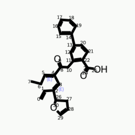 C=C/C(=C\C(=C/CC)C(=O)Cc1cc(-c2ccccc2)ccc1C(=O)O)C1CC=CO1